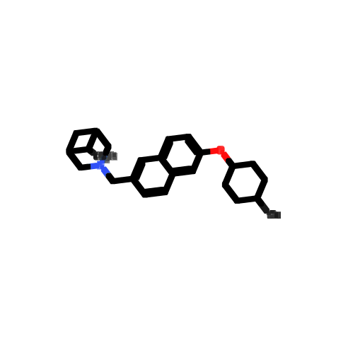 CCOC(=O)C1C2CC1CN(Cc1ccc3cc(OC4CCC(C(C)(C)C)CC4)ccc3c1)C2